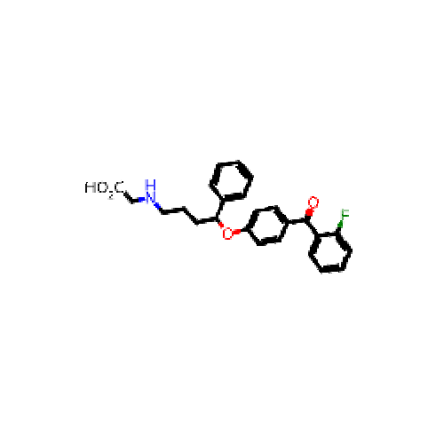 O=C(O)CNCCCC(Oc1ccc(C(=O)c2ccccc2F)cc1)c1ccccc1